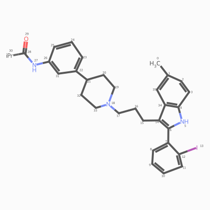 Cc1ccc2[nH]c(-c3ccccc3I)c(CCCN3CCC(c4cccc(NC(=O)C(C)C)c4)CC3)c2c1